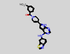 O=C(O)c1cccc(C(=O)N2CC=C(c3cc4c(Nc5ccc6ncsc6c5)ncnc4[nH]3)CC2)c1